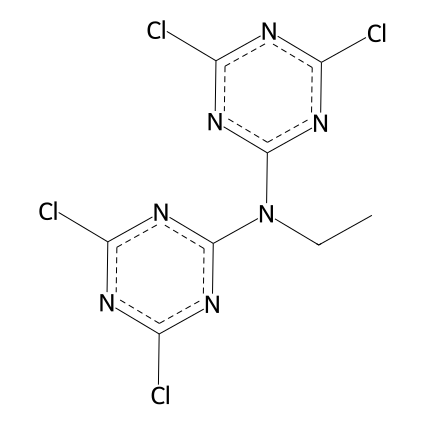 CCN(c1nc(Cl)nc(Cl)n1)c1nc(Cl)nc(Cl)n1